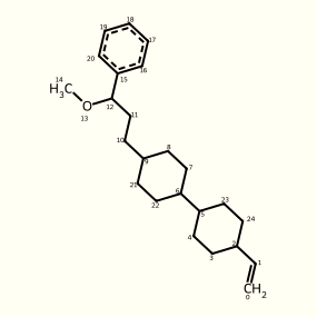 C=CC1CCC(C2CCC(CCC(OC)c3ccccc3)CC2)CC1